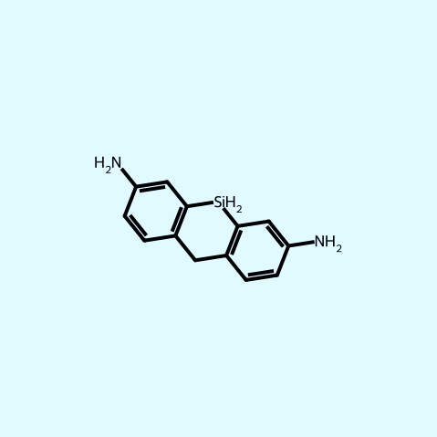 Nc1ccc2c(c1)[SiH2]c1cc(N)ccc1C2